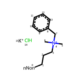 CCCCCCCCCCCC[N+](C)(C)Cc1ccccc1.Cl.[K+]